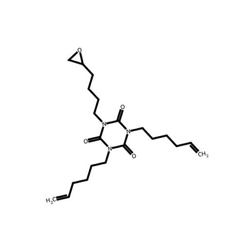 C=CCCCCn1c(=O)n(CCCCC=C)c(=O)n(CCCCC2CO2)c1=O